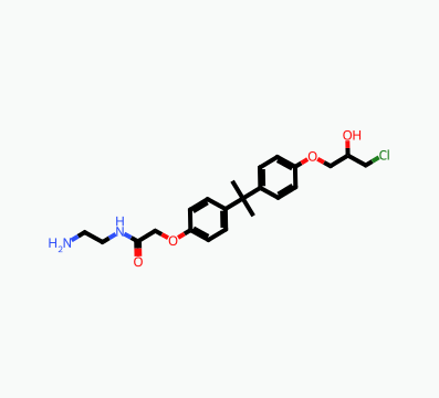 CC(C)(c1ccc(OCC(=O)NCCN)cc1)c1ccc(OCC(O)CCl)cc1